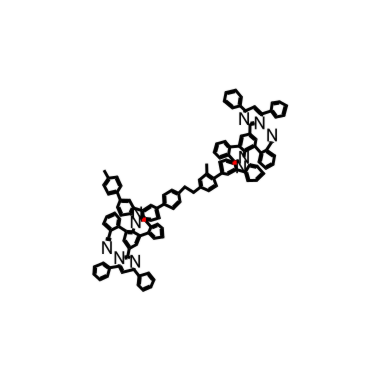 Cc1ccc(-c2ccc3c(c2)c2cc(-c4ccc(CCc5ccc(-c6ccc7c(c6)c6ccccc6n7-c6c(-c7ccccc7C#N)cc(-c7nc(-c8ccccc8)cc(-c8ccccc8)n7)cc6-c6ccccc6C#N)c(C)c5)cc4)ccc2n3-c2c(-c3ccccc3C#N)cc(-c3nc(-c4ccccc4)cc(-c4ccccc4)n3)cc2-c2ccccc2C#N)cc1